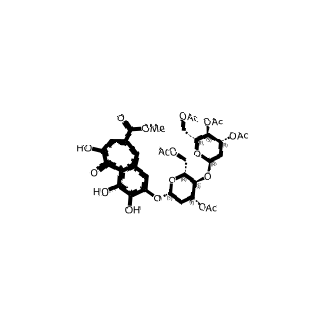 COC(=O)c1cc(O)c(=O)c2c(O)c(O)c(O[C@H]3C[C@@H](OC(C)=O)[C@H](O[C@@H]4C[C@@H](OC(C)=O)[C@H](OC(C)=O)[C@@H](COC(C)=O)O4)[C@@H](COC(C)=O)O3)cc2c1